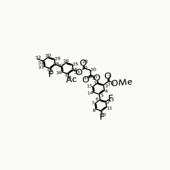 COC(=O)c1cc(-c2ccc(F)cc2F)ccc1OC(=O)CC(=O)Oc1ccc(-c2ccc(C)cc2F)cc1C(C)=O